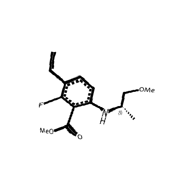 C=Cc1ccc(N[C@@H](C)COC)c(C(=O)OC)c1F